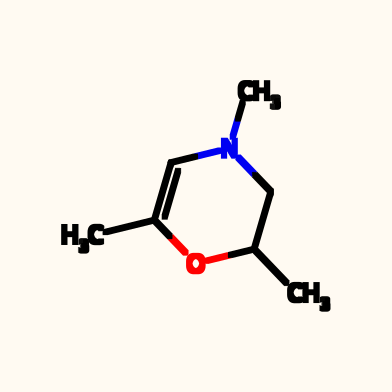 CC1=CN(C)CC(C)O1